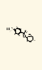 Cc1ccc(C(=O)OC2CCCCO2)cc1